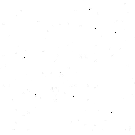 NC(=O)C1CN(C(N)=O)CCO1